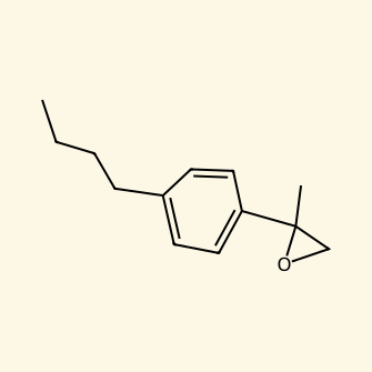 CCCCc1ccc(C2(C)CO2)cc1